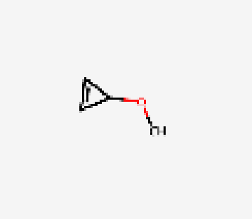 COC1C=C1